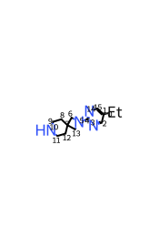 CCc1cnc(N2CC3(CCNCC3)C2)nc1